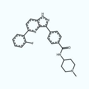 CN1CCC(NC(=O)c2ccc(-c3n[nH]c4ccc(-c5ccccc5F)nc34)cc2)CC1